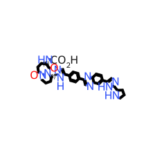 O=C(O)N[C@H]1CCC(=O)N2CCC[C@@H](c3ncc(-c4ccc(-c5cnc6cc(-c7cnc(C8CCCN8)[nH]7)ccc6n5)cc4)[nH]3)N2C1=O